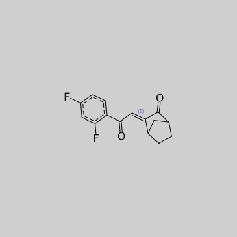 O=C(/C=C1/C(=O)C2CCC1C2)c1ccc(F)cc1F